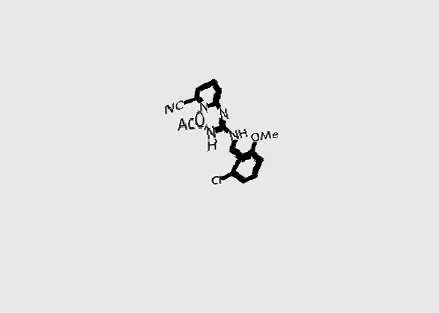 COc1cccc(Cl)c1CNC(=Nc1cccc(C#N)n1)NOC(C)=O